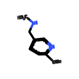 COc1ccc(CNC(=O)O)cn1